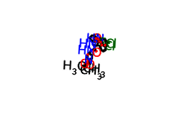 CC(C)(C)OC(=O)N1CCC(NC(=O)[C@@H]2NC3(CCCCC3)[C@@]3(C(=O)Nc4cc(Cl)ccc43)[C@H]2c2cccc(Cl)c2F)CC1